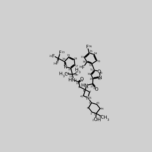 CC1(O)CCC(N2CC(CC(=O)NC(C)(C)c3cccc(C(F)(F)F)n3)(NC(=O)c3cc(-c4ccc(F)cc4F)on3)C2)CC1